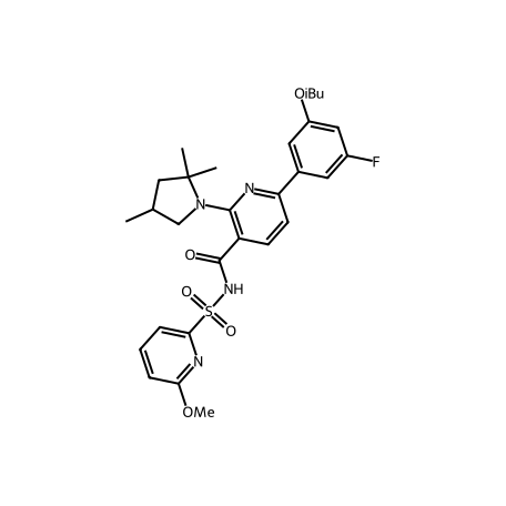 COc1cccc(S(=O)(=O)NC(=O)c2ccc(-c3cc(F)cc(OCC(C)C)c3)nc2N2CC(C)CC2(C)C)n1